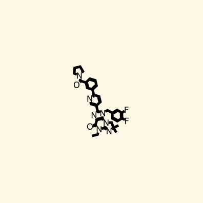 CCN1C(=O)c2nc(-c3ccc(-c4cccc(C(=O)N5CCCC5)c4)nc3)n(Cc3ccc(F)c(F)c3)c2N2CC(C)(C)N=C12